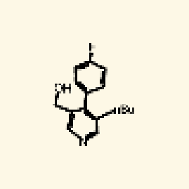 CCCCc1cncc(CO)c1-c1ccc(F)cc1